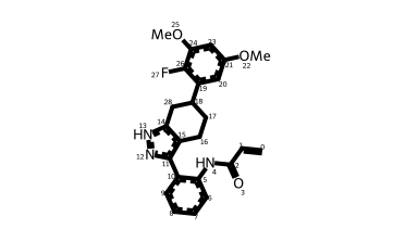 C=CC(=O)Nc1ccccc1-c1n[nH]c2c1CCC(c1cc(OC)cc(OC)c1F)C2